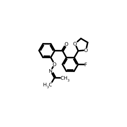 CC(C)=NOc1ccccc1C(=O)c1cccc(F)c1C1OCCO1